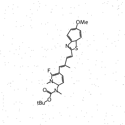 COC1=CC=C2N=C(/C=C/C(C)=C/C3=C(F)N(C)C(N(C)C(=O)OC(C)(C)C)C=C3)SC2C=C1